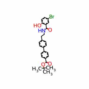 CC(C)(C)OC(=O)c1ccc(-c2ccc(CCNC(=O)c3cc(Br)ccc3O)cc2)cc1